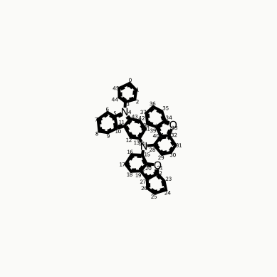 c1ccc(-n2c3ccccc3c3cc(N(c4cccc5c4oc4ccccc45)c4cccc5oc6ccccc6c45)ccc32)cc1